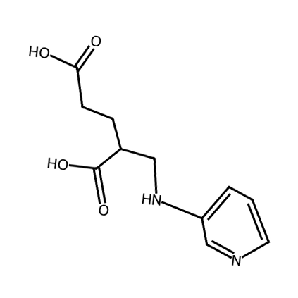 O=C(O)CCC(CNc1cccnc1)C(=O)O